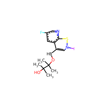 CC(C)(O)C(C)(C)OBC1=CN(I)Sc2ncc(F)cc21